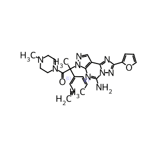 C=C/C=C(\C=C/C)C(C)(C(=O)N1CCN(C)CC1)n1ncc2c1nc(N)n1nc(-c3ccco3)nc21